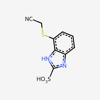 N#CCSc1cccc2nc(S(=O)(=O)O)[nH]c12